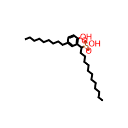 CCCCCCCCCCCCC(c1cc(CCCCCCCCC)ccc1O)S(=O)(=O)O